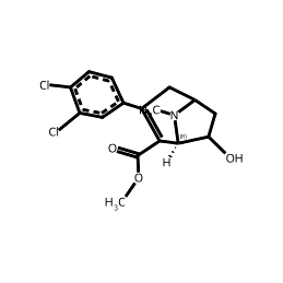 COC(=O)C1=C(c2ccc(Cl)c(Cl)c2)CC2CC(O)[C@@H]1N2C